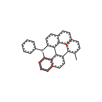 Cc1ccccc1-c1ccc2ccccc2c1-c1c(P(c2ccccc2)c2ccccc2)ccc2ccccc12